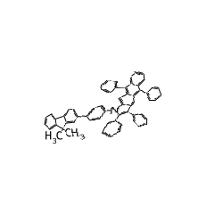 CC1(C)c2ccccc2-c2ccc(-c3ccc(-n4c(-c5ccccc5)c(-c5ccccc5)c5cc6c(-c7ccccc7)c7ccccc7c(-c7ccccc7)c6cc54)cc3)cc21